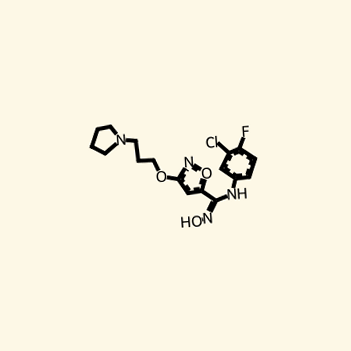 O/N=C(/Nc1ccc(F)c(Cl)c1)c1cc(OCCCN2CCCC2)no1